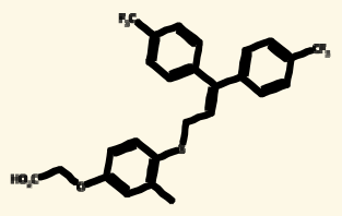 Cc1cc(OCC(=O)O)ccc1SCC=C(c1ccc(C(F)(F)F)cc1)c1ccc(C(F)(F)F)cc1